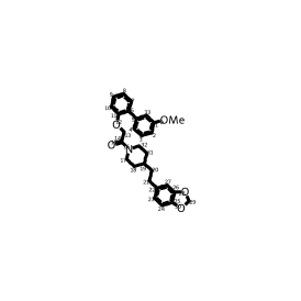 COc1cccc(-c2ccccc2OCC(=O)N2CCC(CCc3ccc4c(c3)OCO4)CC2)c1